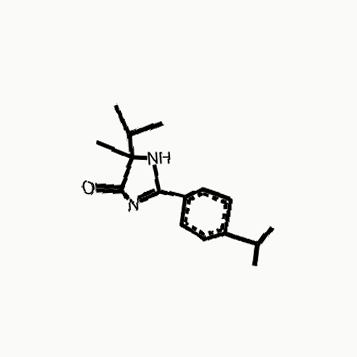 CC(C)c1ccc(C2=NC(=O)C(C)(C(C)C)N2)cc1